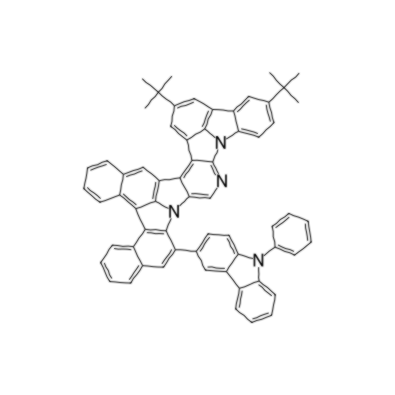 CC(C)(C)c1ccc2c(c1)c1cc(C(C)(C)C)cc3c4c5c6cc7ccccc7c7c8c9ccccc9cc(-c9ccc%10c(c9)c9ccccc9n%10-c9ccccc9)c8n(c5cnc4n2c13)c67